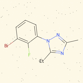 C[CH]c1nc(C)nn1-c1cccc(Br)c1F